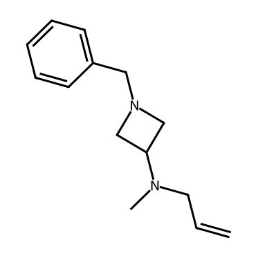 C=CCN(C)C1CN(Cc2ccccc2)C1